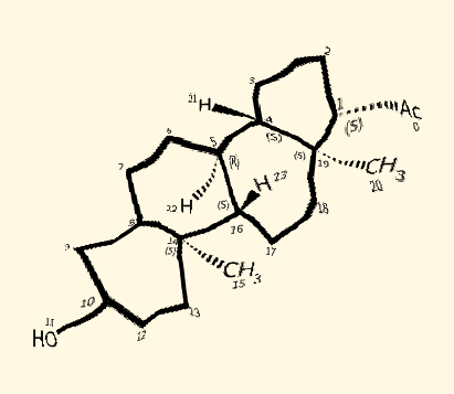 CC(=O)[C@H]1CC[C@H]2[C@@H]3CCC4CC(O)CC[C@]4(C)[C@H]3CC[C@]12C